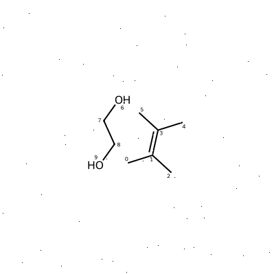 CC(C)=C(C)C.OCCO